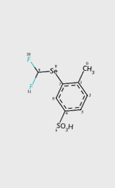 Cc1ccc(S(=O)(=O)O)cc1[Se]C(F)F